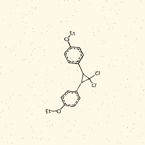 CCOc1ccc(C2C(c3ccc(OCC)cc3)C2(Cl)Cl)cc1